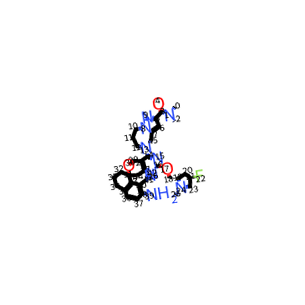 CN(C)C(=O)c1cc2n(n1)CCCN(c1nc(OC[C@@H]3C[C@@H](F)CN3C)nc3c1COC1(CCCc4ccc(N)c(C#N)c41)C3)C2